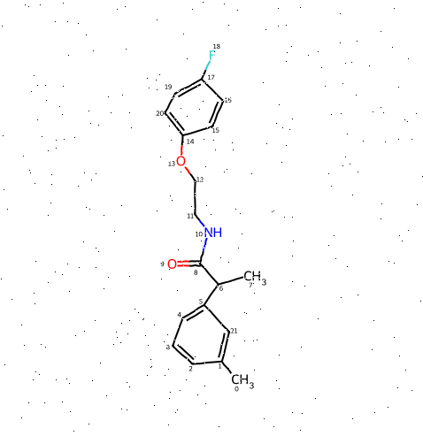 Cc1cccc(C(C)C(=O)NCCOc2ccc(F)cc2)c1